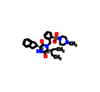 CCC(CC)[C@@H]1C(=O)N[C@H](C2Cc3ccccc3C2)C(=O)N1Cc1ccccc1S(=O)(=O)N1CCN(C)CC1